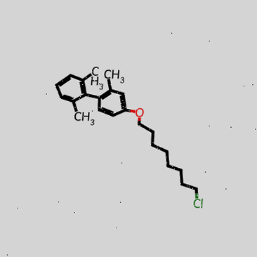 Cc1cc(OCCCCCCCCCl)ccc1-c1c(C)cccc1C